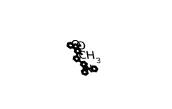 Cc1cc2c(=O)oc3ccccc3c2cc1-c1cccc(-c2ccc3c(c2)c2ccccc2n3-c2ccccc2)c1